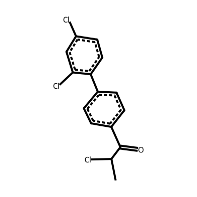 CC(Cl)C(=O)c1ccc(-c2ccc(Cl)cc2Cl)cc1